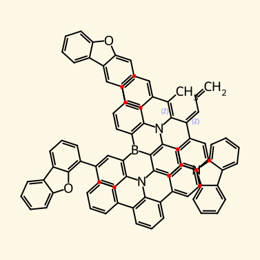 C=C/C=C(\C(=C(/C)c1ccccc1)N1c2cc(-c3ccc4oc5ccccc5c4c3)ccc2B2c3cc(-c4cccc5c4oc4ccccc45)ccc3N(c3c(-c4ccccc4)cccc3-c3ccccc3)c3cc(-n4c5ccccc5c5ccccc54)cc1c32)c1ccccc1